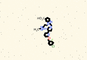 Cc1n[nH]c(CCn2c(CN3CCC(c4cccc(OCc5ccc(Cl)cc5F)n4)CC3)nc3ccc(C(=O)O)cc32)n1